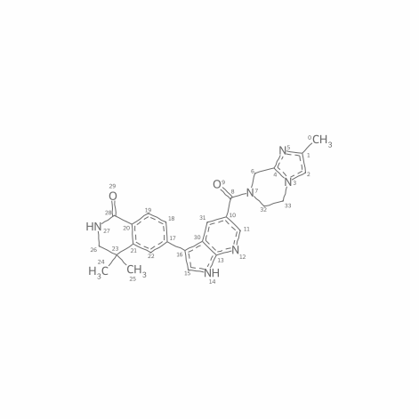 Cc1cn2c(n1)CN(C(=O)c1cnc3[nH]cc(-c4ccc5c(c4)C(C)(C)CNC5=O)c3c1)CC2